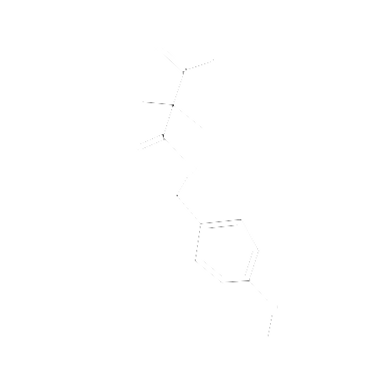 COc1ccc(COC(=O)C(C)(C)C(=O)O)cc1